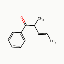 CC=CC(C)C(=O)c1ccccc1